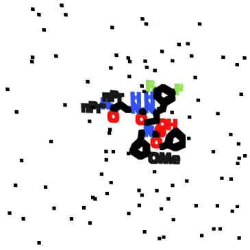 CCCN(CCC)C(=O)CCNC(=O)N[C@@H](Cc1cc(F)cc(F)c1)[C@H](O)CN(Cc1cccc(OC)c1)C(=O)OCc1ccccc1